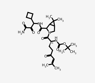 CC(C)=CC(=O)CC[C@H](NC(=O)OC(C)(C)C)C(=O)N1CC2C(C1C(=O)NC(C(=O)C(N)=O)C1CCC1)C2(C)C